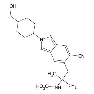 CC(C)(Cc1cc2cn(C3CCC(CO)CC3)nc2cc1C#N)NC(=O)O